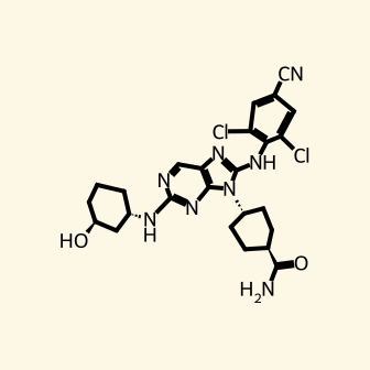 N#Cc1cc(Cl)c(Nc2nc3cnc(N[C@H]4CCC[C@H](O)C4)nc3n2[C@H]2CC[C@H](C(N)=O)CC2)c(Cl)c1